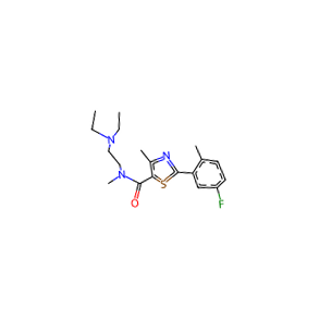 CCN(CC)CCN(C)C(=O)c1sc(-c2cc(F)ccc2C)nc1C